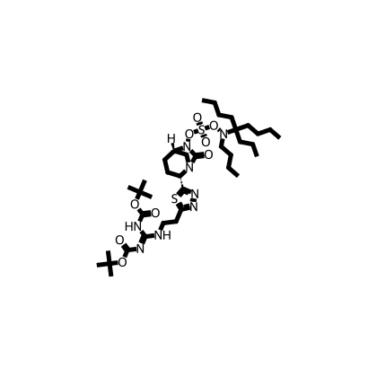 CCCCN(OS(=O)(=O)ON1C(=O)N2C[C@@H]1CC[C@H]2c1nnc(CCN/C(=N/C(=O)OC(C)(C)C)NC(=O)OC(C)(C)C)s1)C(CCC)(CCCC)CCCC